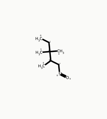 CCC(C)(C)C(C)C[S+]=O